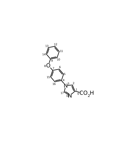 O=C(O)c1cn(-c2ccc(Oc3ccccc3)cc2)cn1